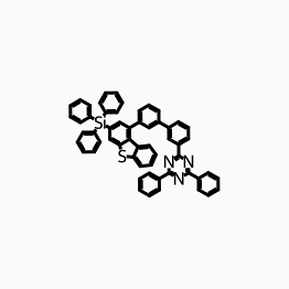 c1ccc(-c2nc(-c3ccccc3)nc(-c3cccc(-c4cccc(-c5cc([Si](c6ccccc6)(c6ccccc6)c6ccccc6)cc6sc7ccccc7c56)c4)c3)n2)cc1